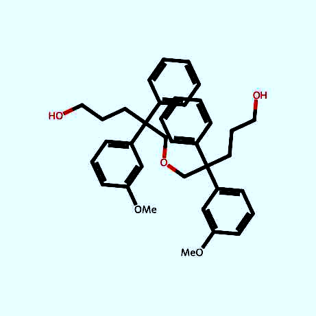 COc1cccc(C(CCCO)(COCC(CCCO)(c2ccccc2)c2cccc(OC)c2)c2ccccc2)c1